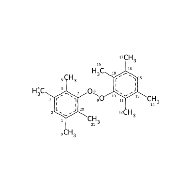 Cc1cc(C)c(C)c(OOc2c(C)c(C)cc(C)c2C)c1C